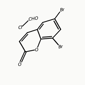 O=CCl.O=c1ccc2cc(Br)cc(Br)c2o1